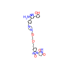 Cn1c(=O)n(C2CCC(=O)NC2=O)c2ccc(CCCOCCCOCCN3CCN(Cc4ccc(-c5cc(-c6ccccc6O)nnc5N)cc4)CC3)cc21